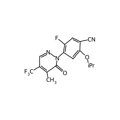 Cc1c(C(F)(F)F)cnn(-c2cc(OC(C)C)c(C#N)cc2F)c1=O